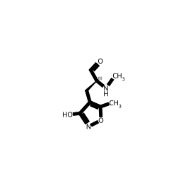 CN[C@H](C=O)Cc1c(O)noc1C